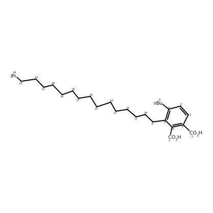 CCCCc1ccc(C(=O)O)c(C(=O)O)c1CCCCCCCCCCCCCCCC(C)C